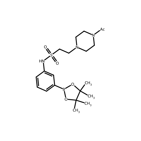 CC(=O)N1CCN(CCS(=O)(=O)Nc2cccc(B3OC(C)(C)C(C)(C)O3)c2)CC1